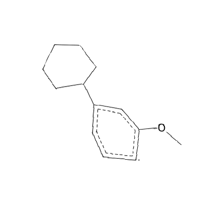 COc1[c]ccc(C2CCCCC2)c1